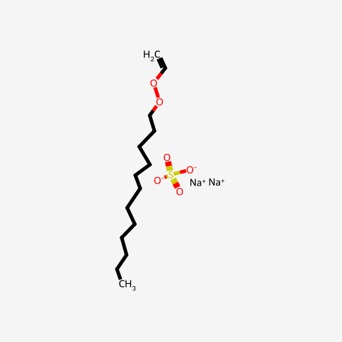 C=COOCCCCCCCCCCCC.O=S(=O)([O-])[O-].[Na+].[Na+]